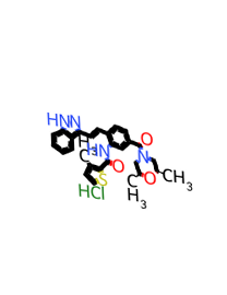 Cc1ccsc1C(=O)Nc1cc(C(=O)N2C[C@@H](C)O[C@@H](C)C2)ccc1/C=C/c1n[nH]c2ccccc12.Cl